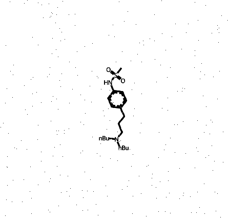 CCCCN(CCCC)CCCc1ccc(NS(C)(=O)=O)cc1